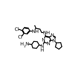 CC(CCNc1nc(NC2CCC(N)CC2)nc2c1ncn2C1CCCC1)Nc1ccc(Cl)c(Cl)c1